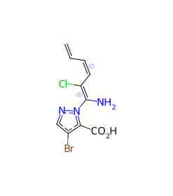 C=C/C=C\C(Cl)=C(/N)n1ncc(Br)c1C(=O)O